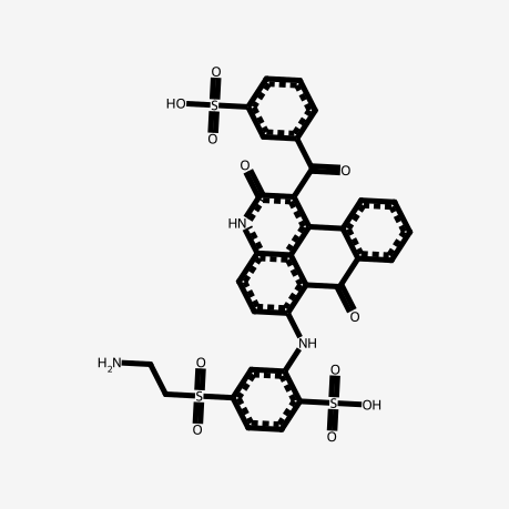 NCCS(=O)(=O)c1ccc(S(=O)(=O)O)c(Nc2ccc3[nH]c(=O)c(C(=O)c4cccc(S(=O)(=O)O)c4)c4c3c2C(=O)c2ccccc2-4)c1